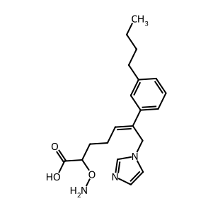 CCCCc1cccc(C(=CCCC(ON)C(=O)O)Cn2ccnc2)c1